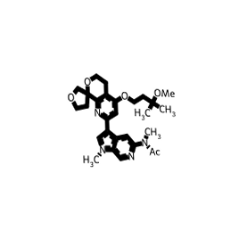 COC(C)(C)CCOc1cc(-c2cn(C)c3cnc(N(C)C(C)=O)cc23)nc2c1CCOC21CCOC1